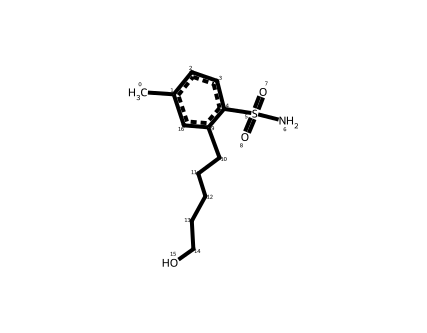 Cc1ccc(S(N)(=O)=O)c(CCCCCO)c1